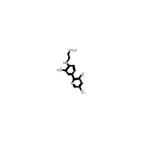 O=C(O)CCNc1ccc(-c2ncc(C(F)(F)F)cc2Cl)cc1[N+](=O)[O-]